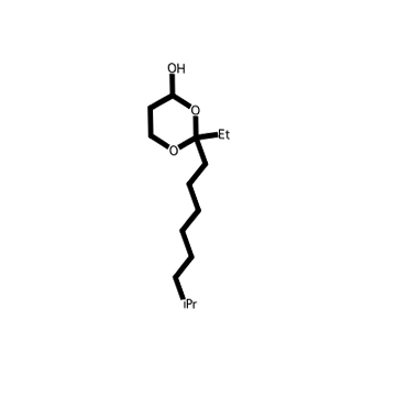 CCC1(CCCCCCC(C)C)OCCC(O)O1